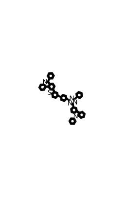 c1ccc(-c2nc(-c3ccc(-c4ccc5sc6c(ccc7c(-c8ccccc8)nc8ccccc8c76)c5c4)cc3)nc(-c3ccc4c(c3)c3ccccc3n4-c3ccccc3)n2)cc1